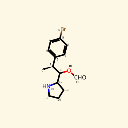 C[C@@H](c1ccc(Br)cc1)C(OC=O)C1CCCN1